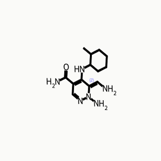 CC1CCCCC1NC1=C(C(N)=O)C=NN(N)/C1=C\N